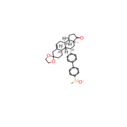 C[S+]([O-])c1ccc(-c2ccc([C@H]3C[C@]4(C)C(=O)CC[C@H]4[C@@H]4CC=C5CC6(CC[C@@H]5[C@H]43)OCCO6)cc2)cc1